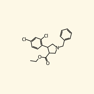 CCOC(=O)C1CN(Cc2ccccc2)CC1c1ccc(Cl)cc1Cl